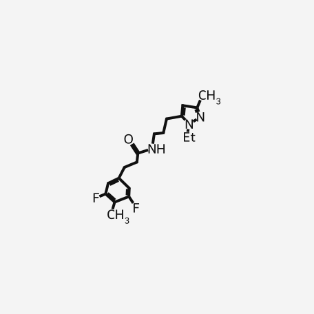 CCn1nc(C)cc1CCCNC(=O)CCc1cc(F)c(C)c(F)c1